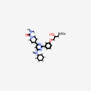 CNCC(O)COc1cccc(-c2nc(C3CCN(C(=O)N(C)C)CC3)cc(N(C)C3CCCCC3)n2)c1